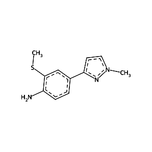 CSc1cc(-c2ccn(C)n2)ccc1N